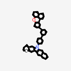 c1cc(-c2ccc(-n3c4cc5ccccc5cc4c4cc5ccccc5cc43)cc2)cc(-c2ccc3c(c2)-c2cccc4cccc(c24)O3)c1